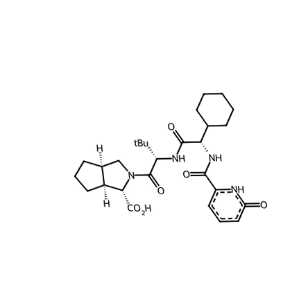 CC(C)(C)[C@H](NC(=O)[C@@H](NC(=O)c1cccc(=O)[nH]1)C1CCCCC1)C(=O)N1C[C@@H]2CCC[C@@H]2[C@H]1C(=O)O